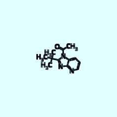 CC(=O)n1c(C(C)(C)C)nc2ncccc21